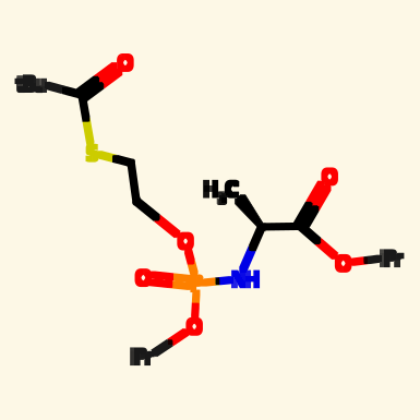 CC(C)OC(=O)[C@H](C)NP(=O)(OCCSC(=O)C(C)(C)C)OC(C)C